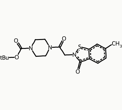 Cc1ccc2c(=O)n(CC(=O)N3CCN(C(=O)OC(C)(C)C)CC3)sc2c1